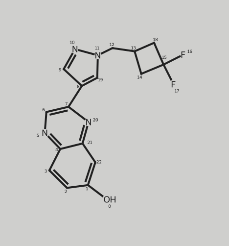 Oc1ccc2ncc(-c3cnn(CC4CC(F)(F)C4)c3)nc2c1